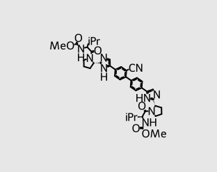 COC(=O)NC(C(=O)N1CCC[C@H]1c1ncc(-c2ccc(-c3ccc(-c4cnc([C@@H]5CCCN5C(=O)[C@@H](NC(=O)OC)C(C)C)[nH]4)cc3)c(C#N)c2)[nH]1)C(C)C